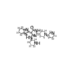 O=c1[nH]c(C2CCN(c3cccnc3)CC2)nc(NC2CCCNC2)c1-c1nc2ccccc2s1